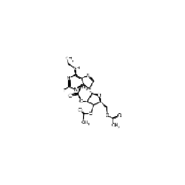 CCNc1nc(I)nc2c1ncn2[C@@H]1O[C@@H](COC(C)=O)[C@@H](OC(C)=O)[C@H]1OC(C)=O